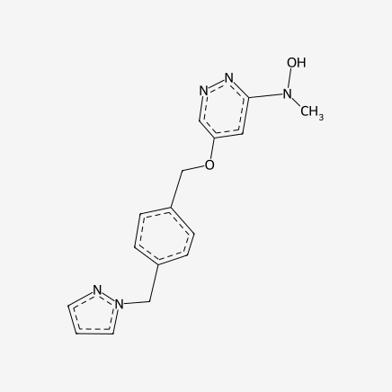 CN(O)c1cc(OCc2ccc(Cn3cccn3)cc2)cnn1